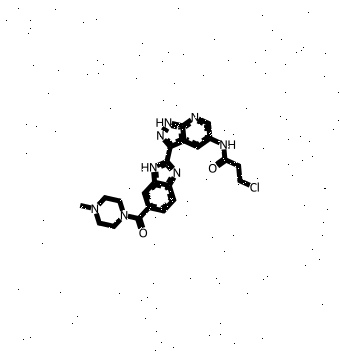 CN1CCN(C(=O)c2ccc3nc(-c4n[nH]c5ncc(NC(=O)CCCl)cc45)[nH]c3c2)CC1